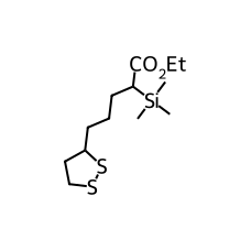 CCOC(=O)C(CCCC1CCSS1)[Si](C)(C)C